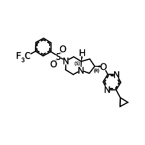 O=S(=O)(c1cccc(C(F)(F)F)c1)N1CCN2C[C@H](Oc3cnc(C4CC4)cn3)C[C@H]2C1